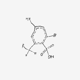 Nc1cc(Br)c(S(=O)(=O)O)c(C(F)(F)F)c1